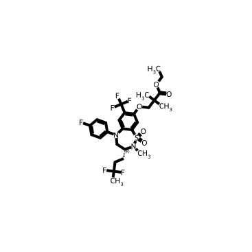 CCOC(=O)C(C)(C)COc1cc2c(cc1C(F)(F)F)N(c1ccc(F)cc1)C[C@@H](CCC(C)(F)F)N(C)S2(=O)=O